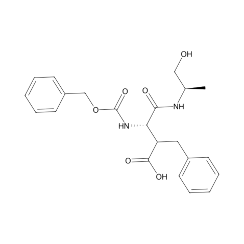 C[C@H](CO)NC(=O)[C@@H](NC(=O)OCc1ccccc1)C(Cc1ccccc1)C(=O)O